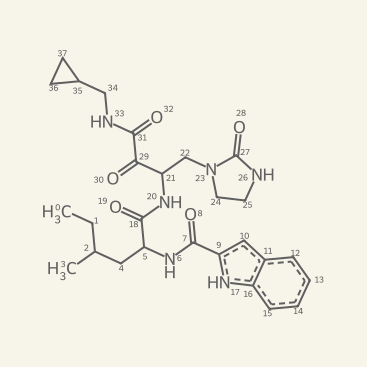 CCC(C)CC(NC(=O)c1cc2ccccc2[nH]1)C(=O)NC(CN1CCNC1=O)C(=O)C(=O)NCC1CC1